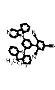 CC1(C)c2ccccc2N(c2cc(-c3c(C#N)cc(C#N)cc3C#N)cc(-n3c4ccccc4c4cnccc43)c2)c2ccccc21